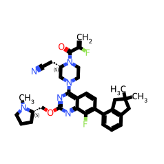 C=C(F)C(=O)N1CCN(c2nc(OC[C@@H]3CCCN3C)nc3c(F)c(-c4cccc5c4CC(C)(C)C5)ccc23)C[C@@H]1CC#N